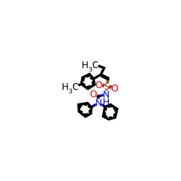 CCC(=CS(=O)(=O)NC(=O)N(c1ccccc1)c1ccccc1)c1ccc(C)cc1